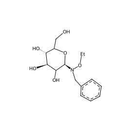 CCON(Cc1ccccc1)[C@@H]1OC(CO)[C@@H](O)[C@H](O)C1O